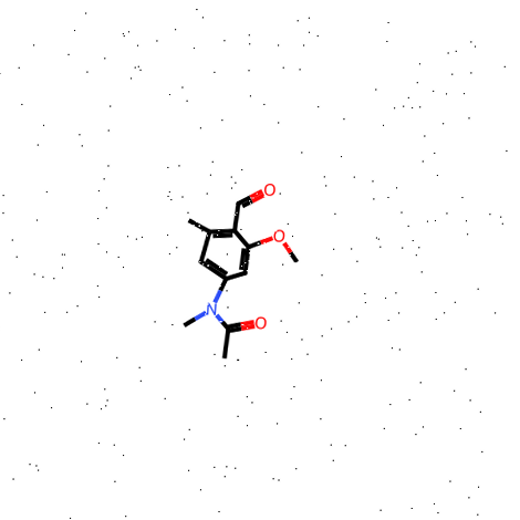 COc1cc(N(C)C(C)=O)cc(C)c1C=O